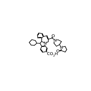 O=C(O)c1ccc2c(c1)N1CC(C(=O)N3CCC(N4CCCC4=O)CC3)=Cc3ccccc3C1C2C1CCCCC1